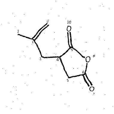 C=C(C)CC1CC(=O)OC1=O